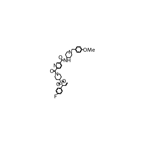 C=CC(c1ccc(F)cc1)S(=O)(=O)C1CCN(C(=O)c2ccc(C(=O)NC3CCN(Cc4ccc(OC)cc4)CC3)cn2)CC1